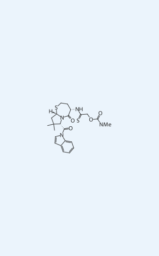 CNC(=O)OCC(=S)N[C@H]1CCS[C@H]2CC(C)(C)[C@@H](C(=O)n3ccc4ccccc43)N2C1=O